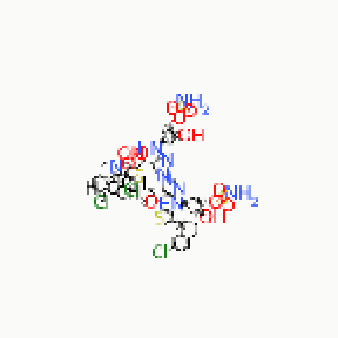 CC(C)(C)[C@]1(c2cc(C(=O)c3cncnc3N[C@@H]3C[C@H](COS(N)(=O)=O)[C@@H](O)C3)sc2Cl)c2cc(Cl)ccc2CCN1C(=O)O.NS(=O)(=O)OC[C@H]1C[C@@H](Nc2ncncc2C(=O)c2cc([C@H]3CCCc4ccc(Cl)cc43)cs2)C[C@@H]1O